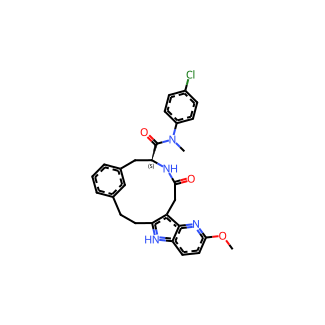 COc1ccc2[nH]c3c(c2n1)CC(=O)N[C@H](C(=O)N(C)c1ccc(Cl)cc1)Cc1cccc(c1)CC3